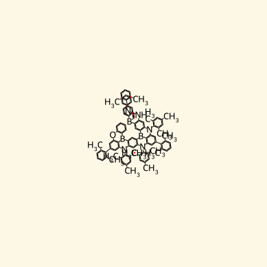 Cc1cc(C)c(N2c3cc4c(cc3B3c5ccccc5Oc5cc(-c6c(C)cccc6C)cc2c53)B2c3cc5c(cc3N(c3c(C)cc(C)cc3C)c3cc(-c6c(C)cccc6C)cc(c32)N4c2c(C)cc(C)cc2C)Nc2cc(-c3c(C)cccc3C)cc3c2B5c2ccccc2N3c2ccccc2)c(C)c1